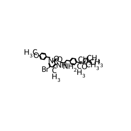 COc1ccc(Cn2cc(Br)c(C)c(NC(=O)[C@@H](N)Cc3ccc(C(C)(C)C(=O)OC(C)(C)C)cc3)c2=O)cc1